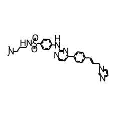 CN(C)CCCNS(=O)(=O)c1ccc(Nc2nccc(-c3ccc(C=CCn4ccnc4)cc3)n2)cc1